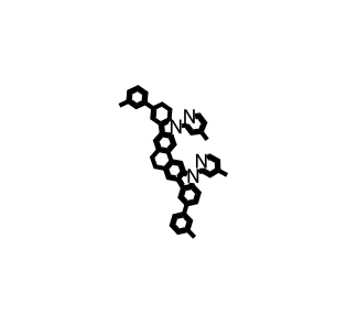 Cc1cccc(C2=Cc3c(n(-c4cc(C)ccn4)c4cc5c(cc34)CCc3cc4c6cc(-c7cccc(C)c7)ccc6n(-c6cc(C)ccn6)c4cc3-5)CC2)c1